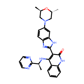 C[C@@H]1CN(c2ccc3nc(-c4c(N[C@@H](C)c5ncccn5)c5ccccc5[nH]c4=O)[nH]c3c2)C[C@@H](C)O1